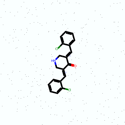 O=C1/C(=C/c2ccccc2Cl)CNC/C1=C\c1ccccc1Cl